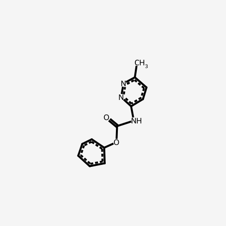 Cc1ccc(NC(=O)Oc2ccccc2)nn1